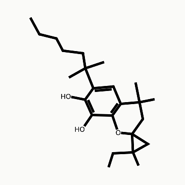 CCCCCC(C)(C)c1cc2c(c(O)c1O)OC1(CC2(C)C)CC1(C)CC